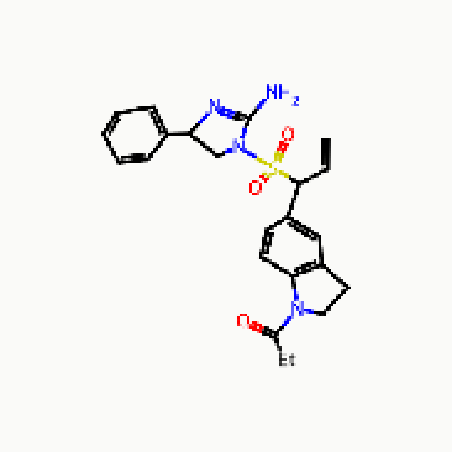 C=CC(c1ccc2c(c1)CCN2C(=O)CC)S(=O)(=O)N1CC(c2ccccc2)N=C1N